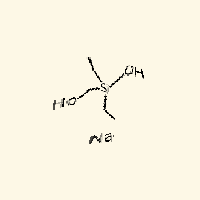 C[Si](C)(O)O.[Na]